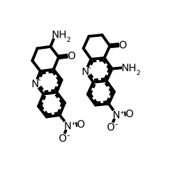 NC1CCc2nc3ccc([N+](=O)[O-])cc3cc2C1=O.Nc1c2c(nc3ccc([N+](=O)[O-])cc13)CCCC2=O